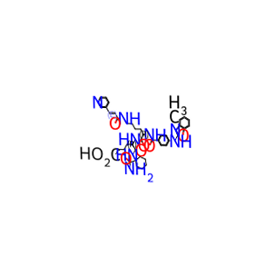 Cc1cccc2oc(Nc3ccc(C(=O)N[C@H](CCCCNC(=O)/C=C/c4cccnc4)C(=O)N[C@H](CCCC(=O)O)C(=O)NC4(C(N)=O)CCCCC4)cc3)nc12